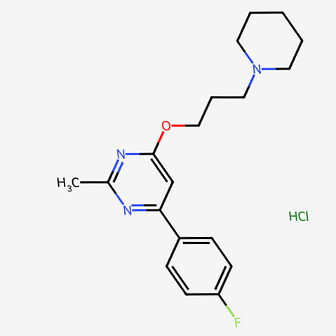 Cc1nc(OCCCN2CCCCC2)cc(-c2ccc(F)cc2)n1.Cl